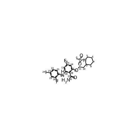 CS(=O)(=O)N1CCCCC1CCOc1cc(F)cc(Nc2ccc(I)cc2F)c1C(N)=O